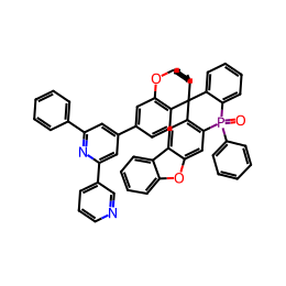 O=P1(c2ccccc2)c2ccccc2C2(c3ccccc3Oc3cc(-c4cc(-c5ccccc5)nc(-c5cccnc5)c4)ccc32)c2cc3c(cc21)oc1ccccc13